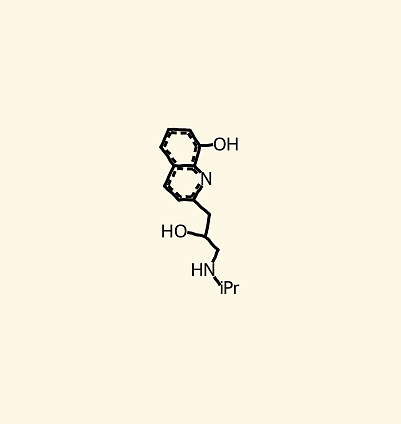 CC(C)NCC(O)Cc1ccc2cccc(O)c2n1